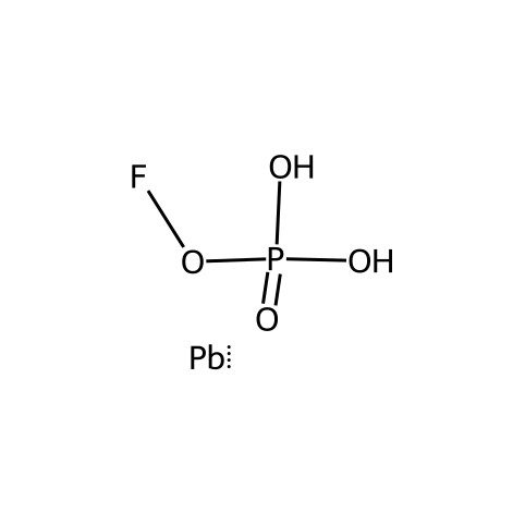 O=P(O)(O)OF.[Pb]